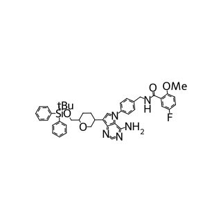 COc1ccc(F)cc1C(=O)NCc1ccc(-n2cc(C3CCC(CO[Si](c4ccccc4)(c4ccccc4)C(C)(C)C)OC3)c3ncnc(N)c32)cc1